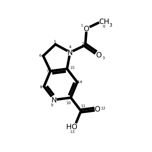 COC(=O)N1CCc2cnc(C(=O)O)cc21